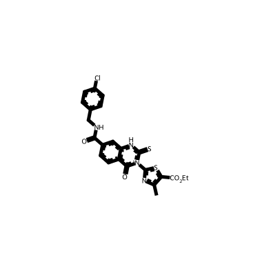 CCOC(=O)c1sc(-n2c(=S)[nH]c3cc(C(=O)NCc4ccc(Cl)cc4)ccc3c2=O)nc1C